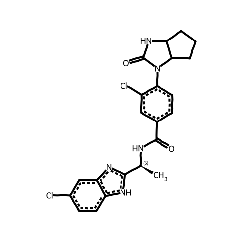 C[C@H](NC(=O)c1ccc(N2C(=O)NC3CCCC32)c(Cl)c1)c1nc2cc(Cl)ccc2[nH]1